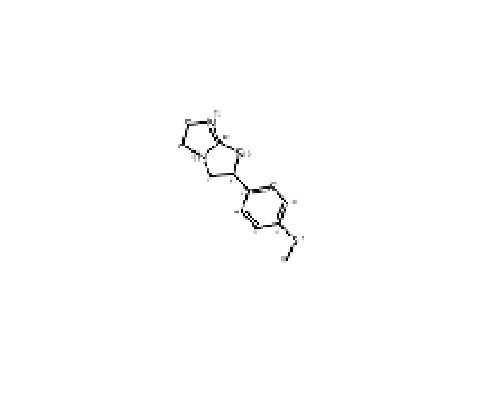 CSc1ccc(C2CN3CCN=C3S2)cc1